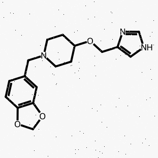 c1nc(COC2CCN(Cc3ccc4c(c3)OCO4)CC2)c[nH]1